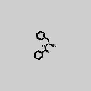 CC(C)(C)N(Cc1ccccc1)NC(=O)c1ccccc1